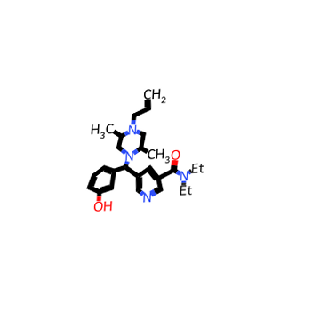 C=CCN1CC(C)N(C(c2cccc(O)c2)c2cncc(C(=O)N(CC)CC)c2)CC1C